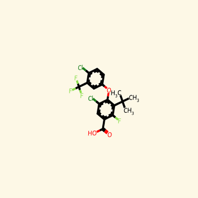 CC(C)(C)c1c(F)c(C(=O)O)cc(Cl)c1Oc1ccc(Cl)c(C(F)(F)F)c1